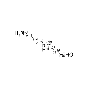 NCCCCCCCNC(=O)CCCCCC=O